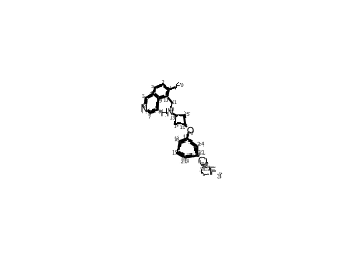 Fc1ccc2cnccc2c1CNC1CC(Oc2cccc(OC(F)(F)F)c2)C1